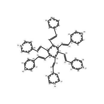 C(=Cc1c(C=Cc2ccncc2)c(C=Cc2ccncc2)c(C=Cc2ccncc2)c(C=Cc2ccncc2)c1C=Cc1ccncc1)c1ccncc1